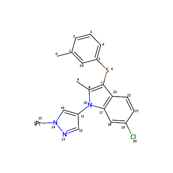 Cc1cccc(Sc2c(C)n(-c3cnn(C(C)C)c3)c3cc(Cl)ccc23)c1